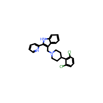 Clc1cccc(Cl)c1C1CCN(Cc2c(-c3ccccn3)[nH]c3ccccc23)CC1